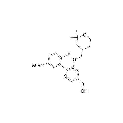 COc1ccc(F)c(-c2ncc(CO)cc2OCC2CCOC(C)(C)C2)c1